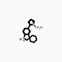 O=C(O)n1cccc1-c1ccc2c(c1)C1(CCCCC1)C[NH+]2[O-]